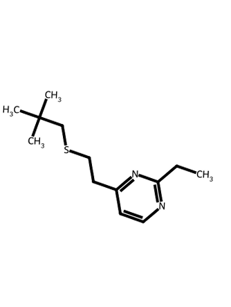 CCc1nccc(CCSCC(C)(C)C)n1